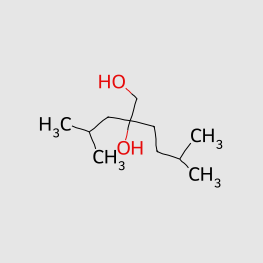 CC(C)CCC(O)(CO)CC(C)C